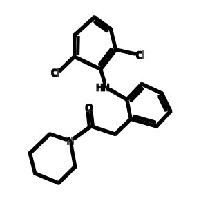 O=C(Cc1ccccc1Nc1c(Cl)cccc1Cl)N1CCCCC1